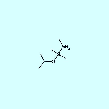 C[SiH2][Si](C)(C)O[C](C)C